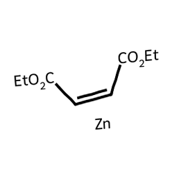 CCOC(=O)/C=C\C(=O)OCC.[Zn]